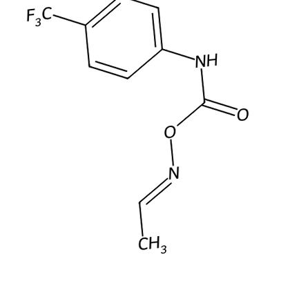 CC=NOC(=O)Nc1ccc(C(F)(F)F)cc1